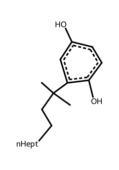 CCCCCCCCCC(C)(C)c1cc(O)ccc1O